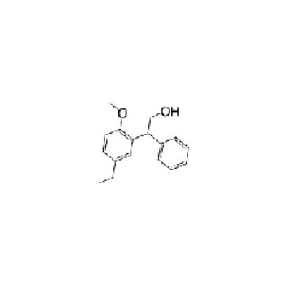 CCc1ccc(OC)c(C(CO)c2ccccc2)c1